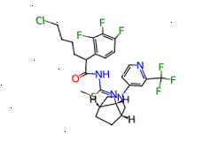 CS/C(=N\[C@H]1[C@@H]2CC[C@H]1CN(c1ccnc(C(F)(F)F)c1)C2)NC(=O)C(CCCCCl)c1ccc(F)c(F)c1F